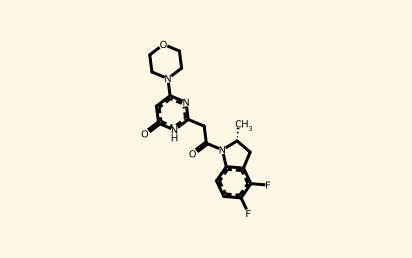 C[C@@H]1Cc2c(ccc(F)c2F)N1C(=O)Cc1nc(N2CCOCC2)cc(=O)[nH]1